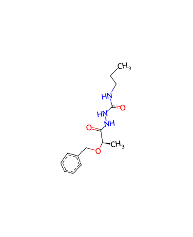 CCCNC(=O)NNC(=O)[C@@H](C)OCc1ccccc1